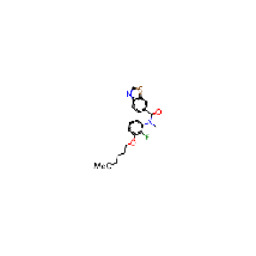 COCCCCOc1cccc(N(C)C(=O)c2ccc3ncsc3c2)c1F